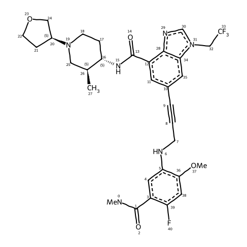 CNC(=O)c1cc(NCC#Cc2cc(C(=O)N[C@H]3CCN([C@H]4CCOC4)C[C@@H]3C)c3ncn(CC(F)(F)F)c3c2)c(OC)cc1F